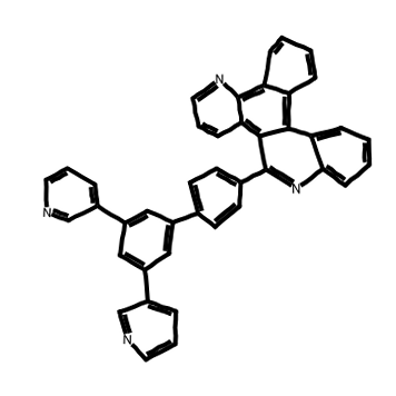 c1cncc(-c2cc(-c3ccc(-c4nc5ccccc5c5c6ccccc6c6ncccc6c45)cc3)cc(-c3cccnc3)c2)c1